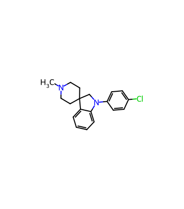 CN1CCC2(CC1)CN(c1ccc(Cl)cc1)c1ccccc12